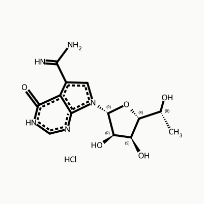 C[C@@H](O)[C@H]1O[C@@H](n2cc(C(=N)N)c3c(=O)[nH]cnc32)[C@H](O)[C@@H]1O.Cl